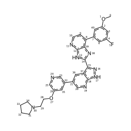 COc1cc(F)cc(-c2ccnc3[nH]c(-c4n[nH]c5ncc(-c6cncc(OCCN7CCCC7)c6)cc45)nc23)c1